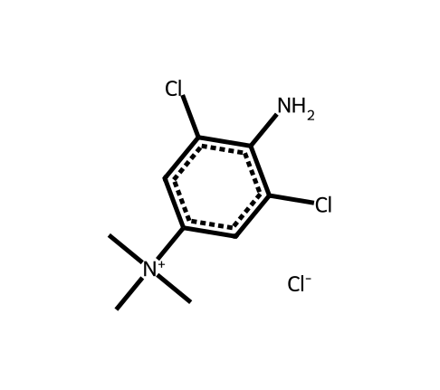 C[N+](C)(C)c1cc(Cl)c(N)c(Cl)c1.[Cl-]